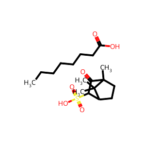 CC12CCC(C(S(=O)(=O)O)C1=O)C2(C)C.CCCCCCCC(=O)O